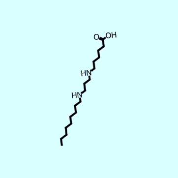 CCCCCCCCCNCCCNCCCCCC(=O)O